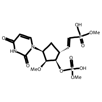 CO[C@@H]1[C@H](OP(=O)(O)OC)[C@@H](/C=C/P(=O)(O)OC)C[C@@H]1n1ccc(=O)[nH]c1=O